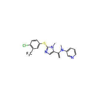 C=C(c1cnc(Sc2ccc(Cl)c(C(F)(F)F)c2)n1C)N(C)c1cccnc1